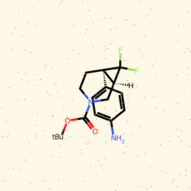 CC(C)(C)OC(=O)N1CC[C@]2(c3ccc(N)cc3)[C@H](C1)C2(F)F